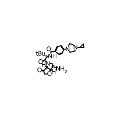 CC(C)(C)[C@H](NC(=O)c1ccc(N2CCN(C3CC3)CC2)cc1)C(=O)N1C[C@@H](N)[C@H]2OCC(=O)[C@H]21